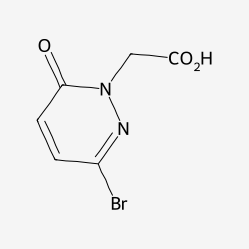 O=C(O)Cn1nc(Br)ccc1=O